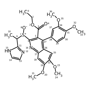 CCOC(=O)c1c([S+]([O-])C(C)c2ncc[nH]2)nc2cc(OC)c(OC)cc2c1-c1ccc(OC)c(OC)c1